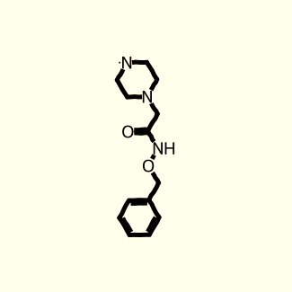 O=C(CN1CC[N]CC1)NOCc1ccccc1